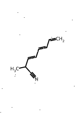 C=C/C=C/C=C/C(C)C#N